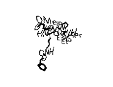 CCOC(OCC)[C@@H](NC(=O)[C@@H]1CCCN1C(=O)[C@@H](NC(=O)[C@H](CCCCNC(=O)OCc1ccccc1)NC(=O)CCC(=O)OC)C(C)C)C(C)C